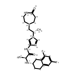 CCC[C@H](N[C@H]1CCc2cc(F)cc(F)c2C1)C(=O)Nc1cn([C@@H](C)CN2CCNC(=O)CC2)cn1